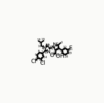 Cc1nn(-c2nc(-c3ccc(Cl)c(Cl)c3)n(CC(C)C)n2)c(C(=O)O)c1-c1cccc(F)c1